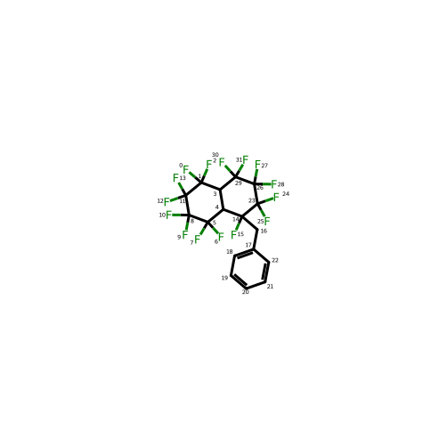 FC1(F)C2C(C(F)(F)C(F)(F)C1(F)F)C(F)(Cc1ccccc1)C(F)(F)C(F)(F)C2(F)F